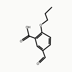 CCCOc1ccc(C=O)cc1C(=O)O